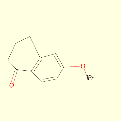 CC(C)Oc1ccc2c(c1)CCCC2=O